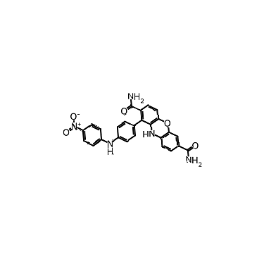 NC(=O)c1ccc2c(c1)Oc1ccc(C(N)=O)c(-c3ccc(Nc4ccc([N+](=O)[O-])cc4)cc3)c1N2